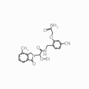 CCOC(C(=O)NCc1ccc(C#N)cc1OCC(N)=O)N1Cc2c(C)cccc2C1=O